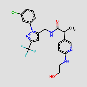 CC(C(=O)NCc1cc(C(F)(F)F)nn1-c1cccc(Cl)c1)c1ccc(NCCO)nc1